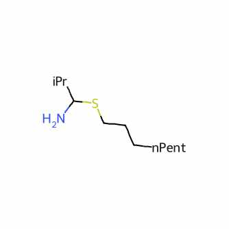 CCCCCCCCSC(N)C(C)C